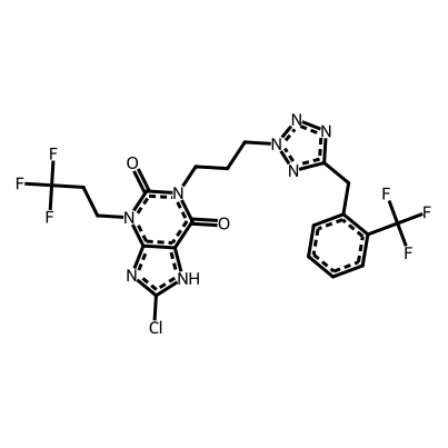 O=c1c2[nH]c(Cl)nc2n(CCC(F)(F)F)c(=O)n1CCCn1nnc(Cc2ccccc2C(F)(F)F)n1